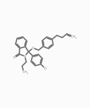 C=CCCc1ccc(COC2(c3ccc(Cl)cc3)c3ccccc3C(=O)N2CCC)cc1